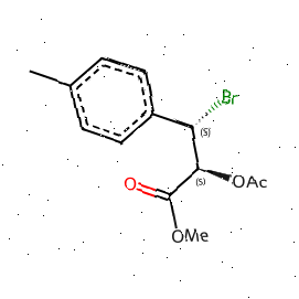 COC(=O)[C@H](OC(C)=O)[C@@H](Br)c1ccc(C)cc1